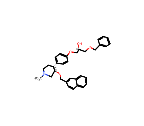 O=C(O)N1CC[C@H](c2ccc(OC[C@@H](O)COCc3ccccc3)cc2)[C@@H](OCc2ccc3ccccc3c2)C1